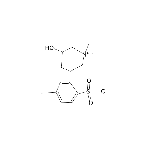 C[N+]1(C)CCCC(O)C1.Cc1ccc(S(=O)(=O)[O-])cc1